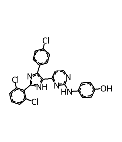 Oc1ccc(Nc2nccc(-c3[nH]c(-c4c(Cl)cccc4Cl)nc3-c3ccc(Cl)cc3)n2)cc1